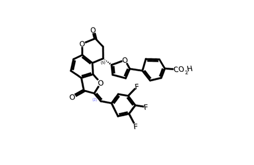 O=C1C[C@H](c2ccc(-c3ccc(C(=O)O)cc3)o2)c2c(ccc3c2O/C(=C\c2cc(F)c(F)c(F)c2)C3=O)O1